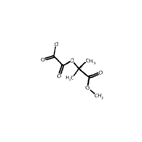 COC(=O)C(C)(C)OC(=O)C(=O)Cl